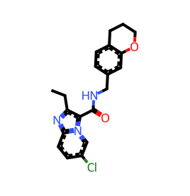 CCc1nc2ccc(Cl)cn2c1C(=O)NCc1ccc2c(c1)OCCC2